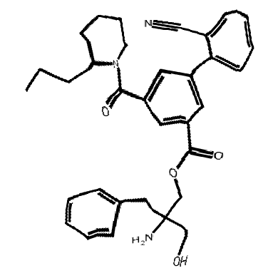 CCCC1CCCCN1C(=O)c1cc(C(=O)OCC(N)(CO)Cc2ccccc2)cc(-c2ccccc2C#N)c1